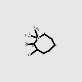 C[Si]1(C)CCCCCC(Cl)C1Cl